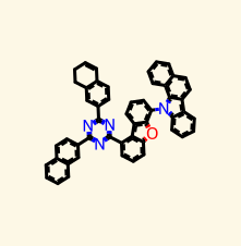 C1=Cc2ccc(-c3nc(-c4ccc5ccccc5c4)nc(-c4cccc5oc6c(-n7c8ccccc8c8ccc9ccccc9c87)cccc6c45)n3)cc2CC1